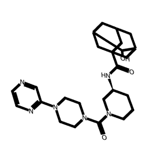 O=C(N1CCN(c2cnccn2)CC1)N1CCC[C@H](NC(=O)C23CC4CC(C2)C(O)C(C4)C3)C1